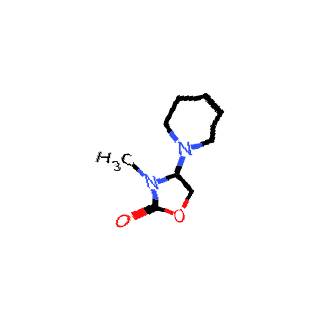 CN1C(=O)OCC1N1CCCCC1